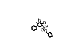 C[C@H]1NC(=O)C(NC(=O)OCc2ccccc2)C[C@H]1c1ccccc1